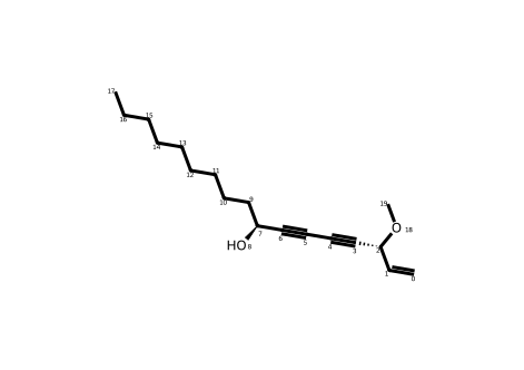 C=C[C@H](C#CC#C[C@@H](O)CCCCCCCCC)OC